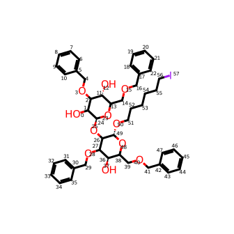 OC1C(OCc2ccccc2)[C@H](O)C(COCc2ccccc2)O[C@H]1OC1C(OCc2ccccc2)[C@H](O)C(COCc2ccccc2)O[C@H]1OCCCCCCI